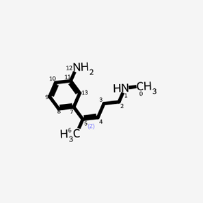 CNCC/C=C(/C)c1cccc(N)c1